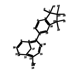 CC1(C)c2ccc(C3=C4C=CSC(=C(Br)C=N3)C4)cc2C(C)(C)C1(C)C